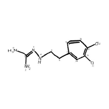 NC(N)=NNCCc1ccc(Cl)c(Cl)c1